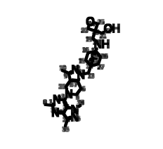 Cc1nc(N2CCc3c(c(C)nn3CC34CCC(NCC5(CO)COC5)(CC3)CC4)C2)c2c(n1)c(C)nn2C